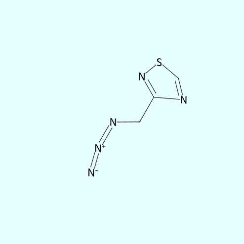 [N-]=[N+]=NCc1ncsn1